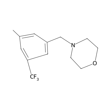 Cc1cc(CN2CCOCC2)cc(C(F)(F)F)c1